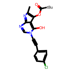 Cc1nc2ncn(C#Cc3ccc(Cl)cc3)c(O)c-2c1OC(=O)C(C)(C)C